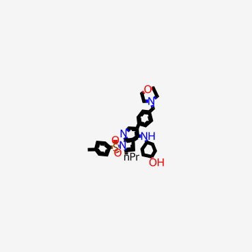 CCCc1cc2c(NC3CCC(O)CC3)c(-c3ccc(CN4CCOCC4)cc3)cnc2n1S(=O)(=O)c1ccc(C)cc1